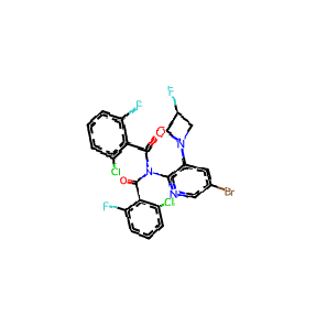 O=C(c1c(F)cccc1Cl)N(C(=O)c1c(F)cccc1Cl)c1ncc(Br)cc1N1CC(F)C1